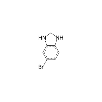 Brc1ccc2c(c1)NCN2